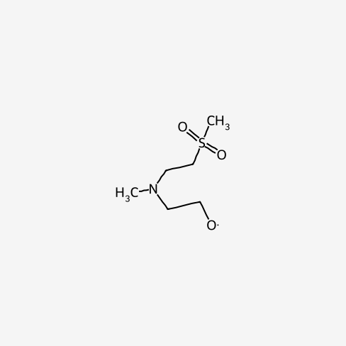 CN(CC[O])CCS(C)(=O)=O